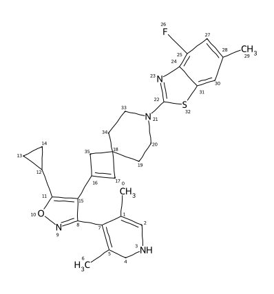 CC1=CNCC(C)=C1c1noc(C2CC2)c1C1=CC2(CCN(c3nc4c(F)cc(C)cc4s3)CC2)C1